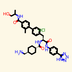 Cc1cc(C(=O)NC(C)CO)ccc1-c1ccc(C[C@H](NC(=O)[C@H]2CC[C@H](CN)CC2)C(=O)Nc2ccc(-c3nnn[nH]3)cc2)cc1.Cl